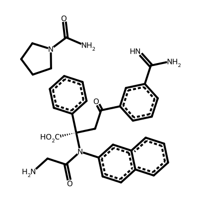 N=C(N)c1cccc(C(=O)C[C@](C(=O)O)(c2ccccc2)N(C(=O)CN)c2ccc3ccccc3c2)c1.NC(=O)N1CCCC1